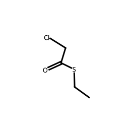 CCSC(=O)CCl